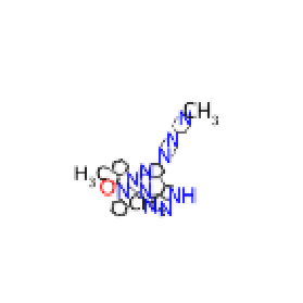 Cc1cccc2nc(C(C)Nc3ncnc4[nH]cc(-c5cncc(N6CCN(C7CCN(C)CC7)CC6)c5)c34)n(-c3ccccc3)c(=O)c12